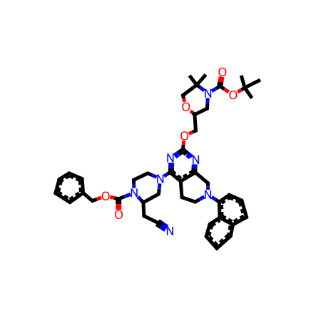 CC(C)(C)OC(=O)N1CC(COc2nc3c(c(N4CCN(C(=O)OCc5ccccc5)C(CC#N)C4)n2)CCN(c2cccc4ccccc24)C3)OCC1(C)C